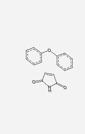 O=C1C=CC(=O)N1.c1ccc(Oc2ccccc2)cc1